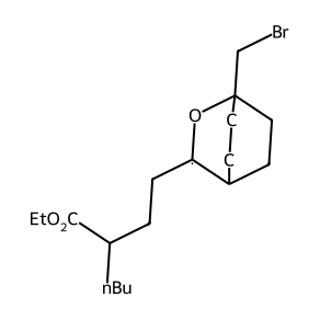 [CH2]CCCC(CC[C]1OC2(CBr)CCC1CC2)C(=O)OCC